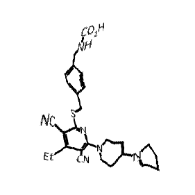 CCc1c(C#N)c(SCc2ccc(CNC(=O)O)cc2)nc(N2CCC(N3CCCC3)CC2)c1C#N